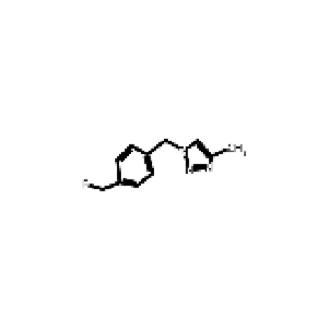 Cc1cn(Cc2ccc(CF)cc2)nn1